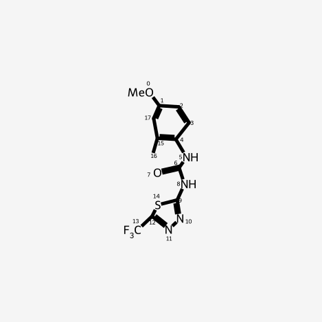 COc1ccc(NC(=O)Nc2nnc(C(F)(F)F)s2)c(C)c1